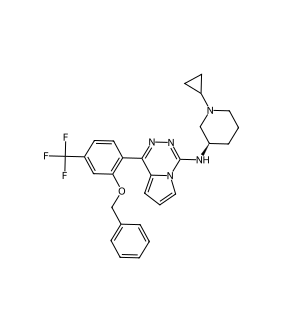 FC(F)(F)c1ccc(-c2nnc(N[C@@H]3CCCN(C4CC4)C3)n3cccc23)c(OCc2ccccc2)c1